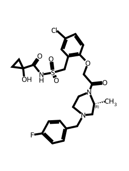 C[C@@H]1CN(Cc2ccc(F)cc2)CCN1C(=O)COc1ccc(Cl)cc1CS(=O)(=O)NC(=O)C1(O)CC1